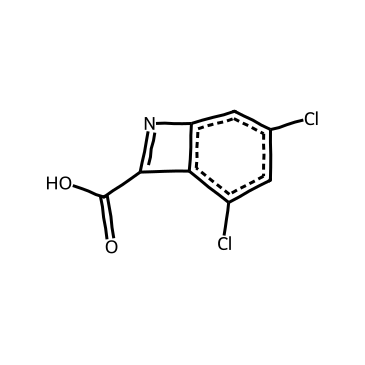 O=C(O)C1=Nc2cc(Cl)cc(Cl)c21